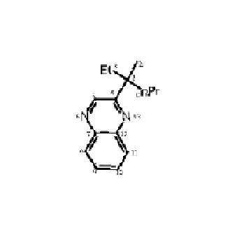 CCCC(C)(CC)c1cnc2ccccc2n1